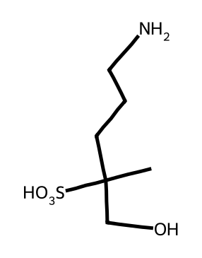 CC(CO)(CCCN)S(=O)(=O)O